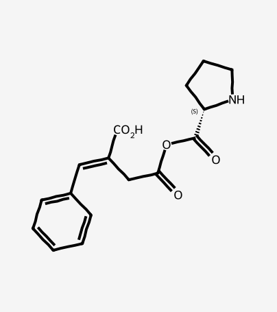 O=C(CC(=Cc1ccccc1)C(=O)O)OC(=O)[C@@H]1CCCN1